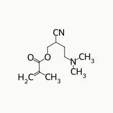 C=C(C)C(=O)OCC(C#N)CCN(C)C